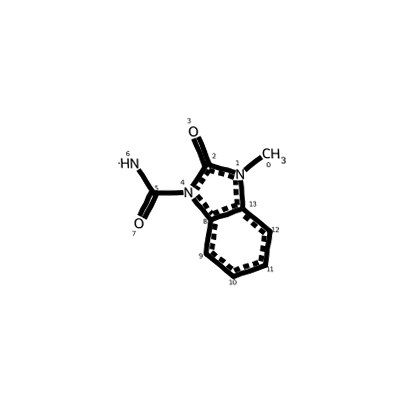 Cn1c(=O)n(C([NH])=O)c2ccccc21